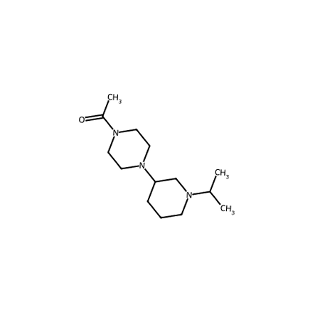 CC(=O)N1CCN(C2CCCN(C(C)C)C2)CC1